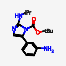 CC(C)Nc1ncc(-c2cccc(N)c2)n1C(=O)OC(C)(C)C